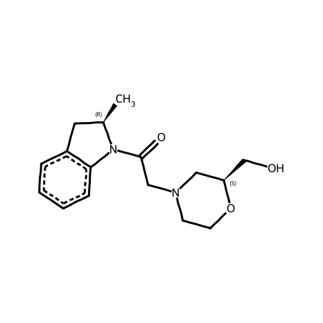 C[C@@H]1Cc2ccccc2N1C(=O)CN1CCO[C@H](CO)C1